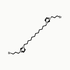 BrCCC[n+]1ccn(CCCCCCCCCCCCn2cc[n+](CCCBr)c2)c1